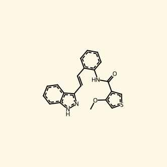 COc1cscc1C(=O)Nc1ccccc1C=Cc1n[nH]c2ccccc12